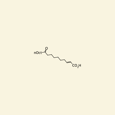 CCCCCCCCC(=O)CCCCCCC=CC(=O)O